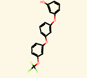 Oc1cccc(Oc2cccc(Oc3cccc(OC(F)(F)F)c3)c2)c1